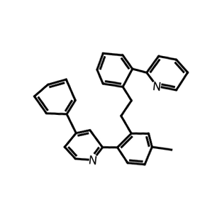 Cc1ccc(-c2cc(-c3ccccc3)ccn2)c(CCc2ccccc2-c2ccccn2)c1